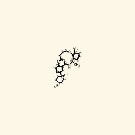 CC(=O)N1CCP(=O)(c2cc3c4nc(nc3cn2)CCCOc2c(cccc2C(F)(F)F)[C@@H](C)N4)CC1